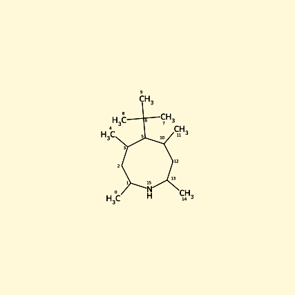 CC1CC(C)C(C(C)(C)C)C(C)CC(C)N1